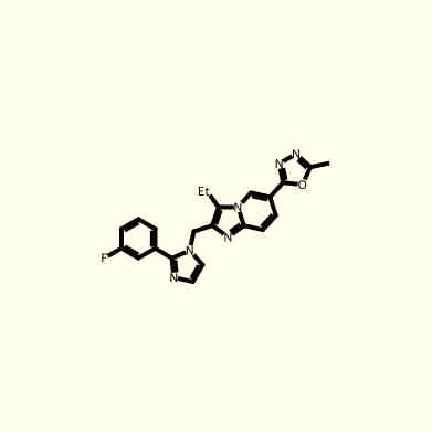 CCc1c(Cn2ccnc2-c2cccc(F)c2)nc2ccc(-c3nnc(C)o3)cn12